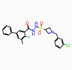 Cc1cc(-c2ccccc2)cc(C(=O)NNS(=O)(=O)C2CN(Cc3cccc(Cl)c3)C2)c1F